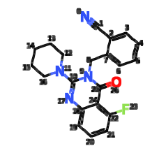 N#Cc1ccccc1Cn1c(N2CCCCC2)nc2cccc(F)c2c1=O